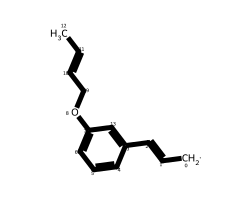 [CH2]/C=C/c1cccc(OCC=CC)c1